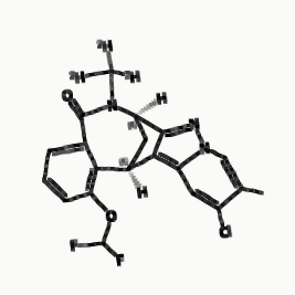 [2H]C([2H])([2H])N1C(=O)c2cccc(OC(F)F)c2[C@H]2C[C@@H]1c1nn3cc(C)c(Cl)cc3c12